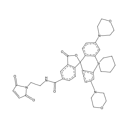 O=C(NCCN1C(=O)C=CC1=O)c1ccc2c(c1)C(=O)OC21c2ccc(N3CCOCC3)cc2[Si]2(CCCCC2)c2cc(N3CCOCC3)ccc21